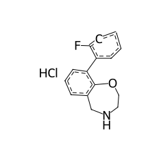 Cl.Fc1ccccc1-c1cccc2c1OCCNC2